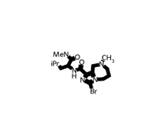 CNC(=O)C(CC(C)C)NC(=O)c1nc(Br)n2c1CN(C)CCC2